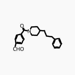 O=Cc1ccc(C(=O)N2CCC(CCCc3ccccc3)CC2)cc1